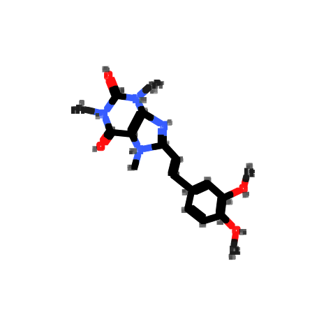 CCCn1c(=O)c2c(nc(/C=C/c3ccc(OCC)c(OCC)c3)n2C)n(CCC)c1=O